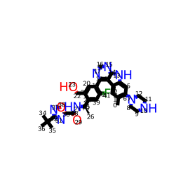 Cc1cc2c(cc1N1CCNCC1)[nH]c1ncnc(-c3cc(CO)c([C@@H](C)NC(=O)c4nc(C(C)(C)C)no4)cc3F)c12